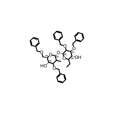 CCC1O[C@H](O[C@H]2O[C@H](COCc3ccccc3)[C@@H](O)C(OCc3ccccc3)C2C)C(OCc2ccccc2)[C@@H](OCc2ccccc2)[C@@H]1O